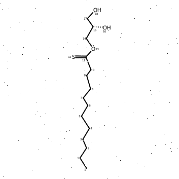 CCCCCCCCCCCC(=S)OC[C@@H](O)CO